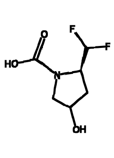 O=C(O)N1CC(O)C[C@@H]1C(F)F